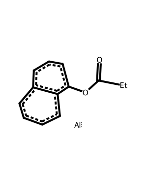 CCC(=O)Oc1cccc2ccccc12.[Al]